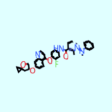 C=C/C(C(=O)Nc1ccc(Oc2ccnc3cc(OC4COC5(CC5)C4)ccc23)c(F)c1)=C(/C)N(C)N(C)c1ccccc1